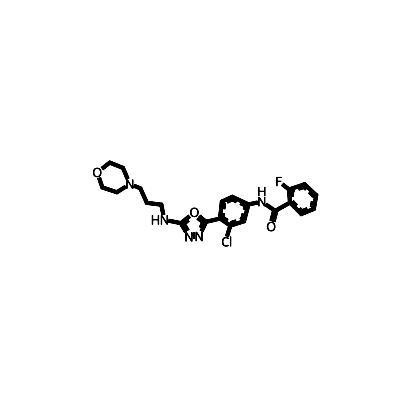 O=C(Nc1ccc(-c2nnc(NCCCN3CCOCC3)o2)c(Cl)c1)c1ccccc1F